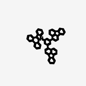 c1ccc2c(c1)-c1cccc3c(-c4cc(-c5ccc6c7c(cccc57)-c5ccccc5-6)cc(-n5c6ccccc6c6c7ccccc7c7ccccc7c65)c4)ccc-2c13